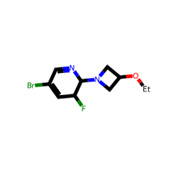 CCOC1CN(C2N=CC(Br)=CC2F)C1